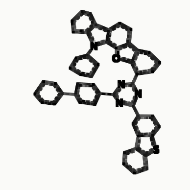 c1ccc(-c2ccc(-c3nc(-c4ccc5sc6ccccc6c5c4)nc(-c4cccc5c4oc4c5ccc5c6ccccc6n(-c6ccccc6)c54)n3)cc2)cc1